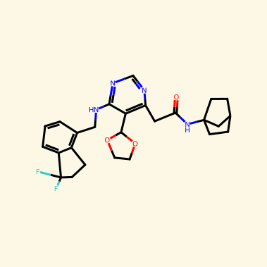 O=C(Cc1ncnc(NCc2cccc3c2CCC3(F)F)c1C1OCCO1)NC12CCC(CC1)C2